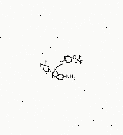 Nc1ccc2nc(N3CCC(F)(F)C3)n(CCOc3ccc(OC(F)(F)F)cc3)c2c1